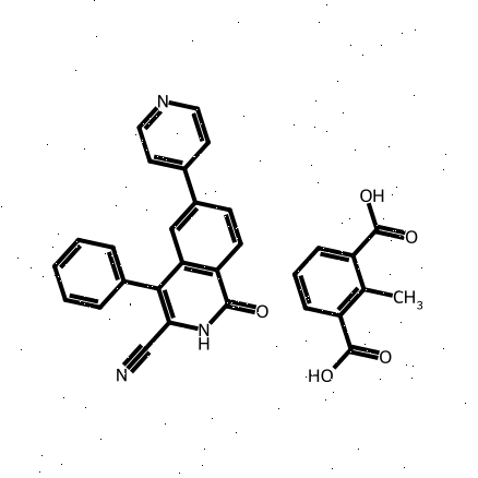 Cc1c(C(=O)O)cccc1C(=O)O.N#Cc1[nH]c(=O)c2ccc(-c3ccncc3)cc2c1-c1ccccc1